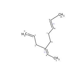 C=CC/C(=C/C)CC/C=C/C